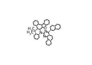 CC1(C)c2ccccc2N(c2nc(-c3ccc4ccccc4c3)c3ccc4ccccc4c3n2)c2c1c1ccccc1c1c2oc2ccccc21